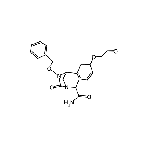 NC(=O)C1c2ccc(OCC=O)cc2C2CN1C(=O)N2OCc1ccccc1